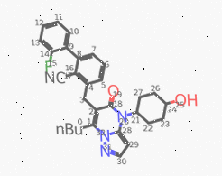 CCCCc1c(Cc2cccc(-c3ccccc3F)c2C#N)c(=O)n(C2CCC(O)CC2)c2ccnn12